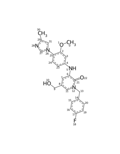 COc1cc(Nc2cc(CO)cn(Cc3ccc(F)cc3)c2=O)ccc1-n1cnc(C)c1